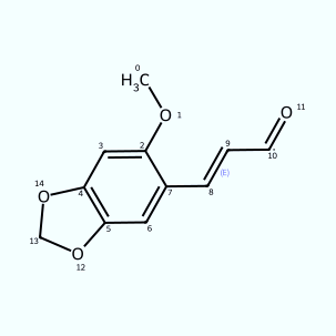 COc1cc2c(cc1/C=C/[C]=O)OCO2